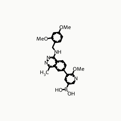 COc1ccc(CNc2nnc(C)c3cc(-c4cc(B(O)O)cnc4OC)ccc23)c(OC)c1